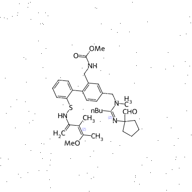 C=C(NSc1ccccc1-c1ccc(CN(C)/C(CCCC)=N\C2(C=O)CCCC2)cc1CNC(=O)OC)/C(C)=C(/C)OC